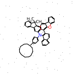 CC1(C)c2ccccc2-c2cc(N(c3ccc(C4CCCCCCCCCCC4)cc3)c3c(-c4cccc5c4oc4ccccc45)ccc4ccccc34)ccc21